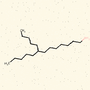 BCCCCCCCC(CCCCC)CCCCC